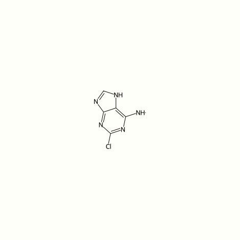 [NH]c1nc(Cl)nc2nc[nH]c12